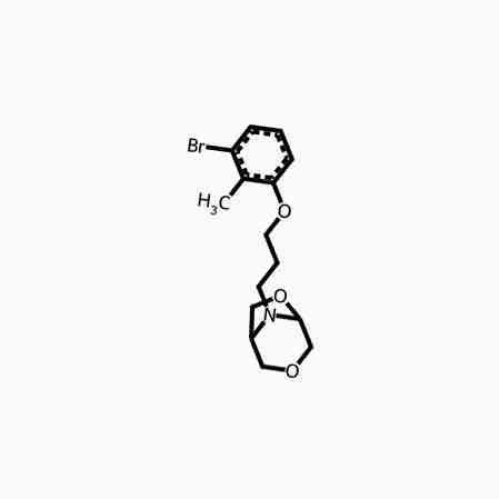 Cc1c(Br)cccc1OCCCN1C2COCC1OC2